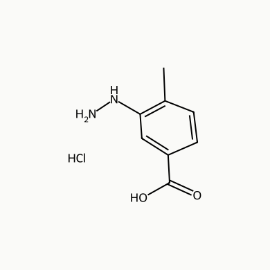 Cc1ccc(C(=O)O)cc1NN.Cl